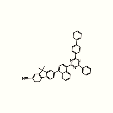 CC1(C)c2cc(C#N)ccc2-c2ccc(-c3ccc(-c4nc(-c5ccccc5)nc(-c5ccc(-c6ccccc6)cc5)n4)c4ccccc34)cc21